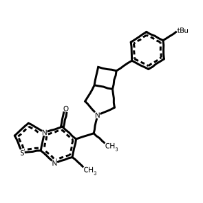 Cc1nc2sccn2c(=O)c1C(C)N1CC2CC(c3ccc(C(C)(C)C)cc3)C2C1